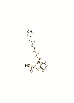 CCCCCCCCCCCOc1ccccc1CCC(=O)O